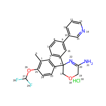 Cc1cc(C2(c3cccc(-c4cccnc4)c3)COCC(N)=N2)ccc1OC(F)F.Cl